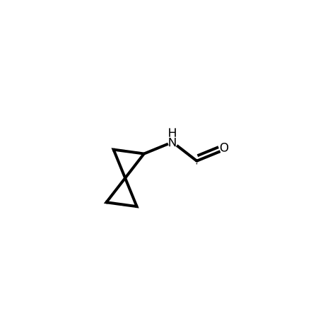 O=[C]NC1CC12CC2